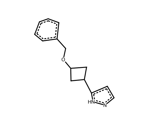 c1ccc(COC2CC(c3ccn[nH]3)C2)cc1